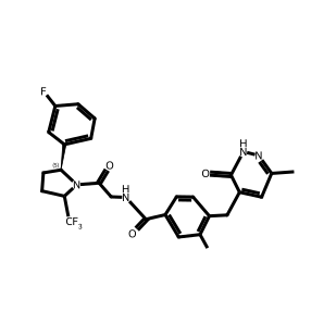 Cc1cc(Cc2ccc(C(=O)NCC(=O)N3C(C(F)(F)F)CC[C@H]3c3cccc(F)c3)cc2C)c(=O)[nH]n1